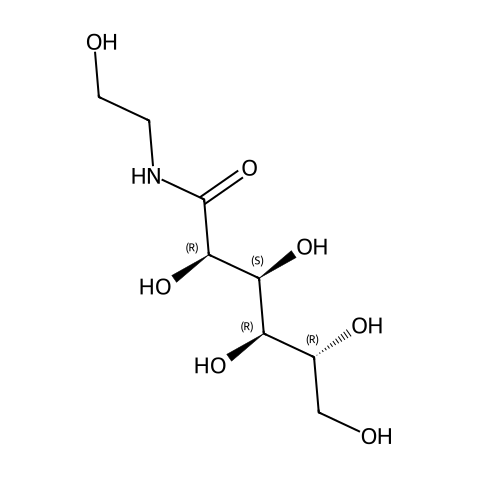 O=C(NCCO)[C@H](O)[C@@H](O)[C@H](O)[C@H](O)CO